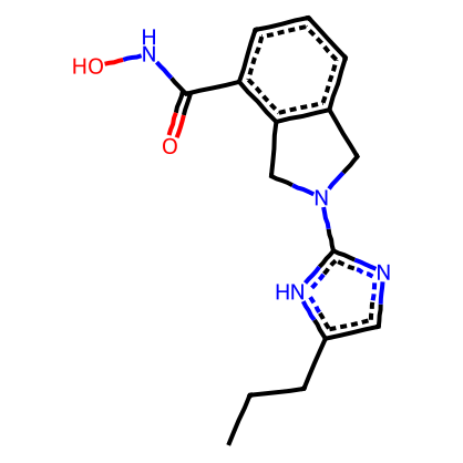 CCCc1cnc(N2Cc3cccc(C(=O)NO)c3C2)[nH]1